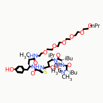 CCCOCCOCCOCCOCCOCCOCCNC(=O)[C@@H](C)C[C@H](Cc1ccc(O)cc1)NC(=O)c1csc([C@H](O)C[C@H](C(C)C)N(CCC)C(=O)[C@@H](NC(=O)[C@@H]([C@@H](C)CC)N(C)C)[C@@H](C)CC)n1